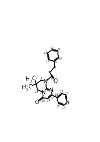 CC1(C)CN(C(=O)CCc2ccccc2)c2nc(-c3ccncc3)cc(=O)n2C1